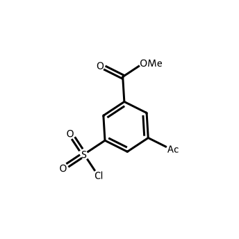 COC(=O)c1cc(C(C)=O)cc(S(=O)(=O)Cl)c1